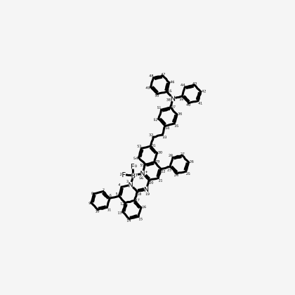 F[B-]1(F)N2C=C(c3ccccc3)c3ccccc3C2=Nc2cc(-c3ccccc3)c3cc(CCc4ccc(N(c5ccccc5)c5ccccc5)cc4)ccc3[n+]21